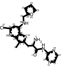 Cc1c(CC(N)C(=O)Nc2cnccn2)sc2c(NCc3ccco3)cc(Cl)nc12